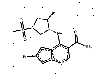 C[C@@H]1CN(S(C)(=O)=O)C[C@H]1Nc1c(C(N)=O)cnn2cc(Br)cc12